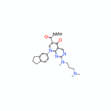 CNC(=O)c1cn(-c2ccc3c(c2)CCC3)c2nc(N(C)CCCN(C)C)ncc2c1=O